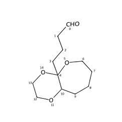 O=CCCCC12OCCCCC1OCCO2